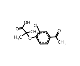 CC(=O)c1ccc(OC(C)(C)C(=O)O)c(Cl)c1